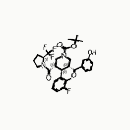 Cc1c(F)cccc1[C@@H]1[C@@H](C(=O)c2cccc(O)c2)CN(C(=O)OC(C)(C)C)C[C@H]1C(=O)N1CCC[C@H]1C(F)(F)F